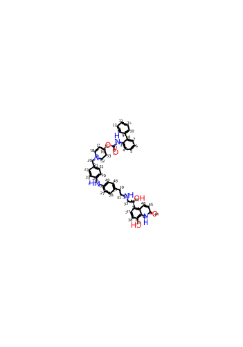 O=C(Nc1ccccc1-c1ccccc1)OC1CCN(Cc2ccc(Nc3ccc(CCNC[C@@H](O)c4ccc(O)c5[nH]c(=O)ccc45)cc3)cc2)CC1